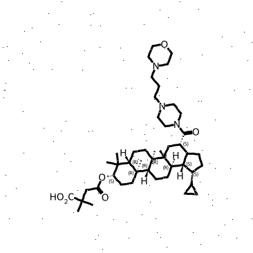 CC(C)(CC(=O)O[C@H]1CC[C@]2(C)[C@H]3CC[C@@H]4[C@@H]5C(CC[C@H]5C5CC5)[C@@H](C(=O)N5CCN(CCCN6CCOCC6)CC5)C[C@@]4(C)[C@]3(C)CC[C@H]2C1(C)C)C(=O)O